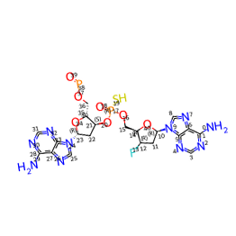 Nc1ncnc2c1ncn2[C@H]1C[C@@H](F)[C@@H](CO[P@@](=O)(S)O[C@H]2C[C@H](n3cnc4c(N)ncnc43)O[C@@H]2COP=O)O1